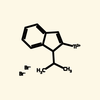 CC(C)C1[C]([Ti+2])=Cc2ccccc21.[Br-].[Br-]